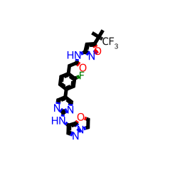 CC(C)(c1cc(NC(=O)Cc2ccc(-c3cnc(Nc4cnn5c4OCC5)nc3)cc2F)no1)C(F)(F)F